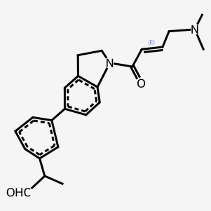 CC(C=O)c1cccc(-c2ccc3c(c2)CCN3C(=O)/C=C/CN(C)C)c1